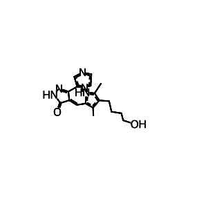 Cc1[nH]c(/C=C2/C(=O)NN=C2c2cnccn2)c(C)c1CCCCO